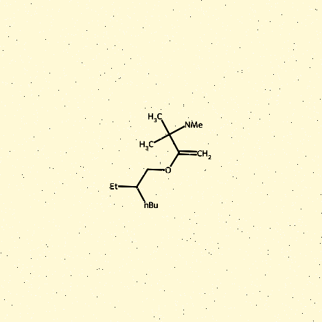 C=C(OCC(CC)CCCC)C(C)(C)NC